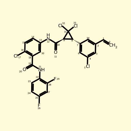 C=Cc1cc(Cl)cc([C@@H]2[C@@H](C(=O)Nc3ccc(Cl)c(C(=O)Nc4ccc(F)cc4F)c3)C2(Cl)Cl)c1